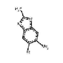 CCc1cc2nc(C)sc2cc1N